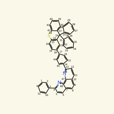 c1ccc(-c2ccc3ccc4ccc(-c5ccc(-c6ccc7c(c6)C(c6ccccc6)(c6ccccc6)c6ccccc6S7)cc5)nc4c3n2)cc1